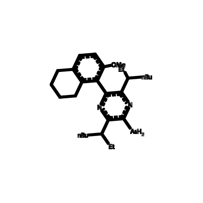 CCCCC(CC)c1nc(-c2c(OC)ccc3c2CCCC3)c(C(CC)CCCC)nc1[AsH2]